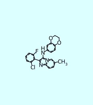 Cc1ccc2nc(-c3c(F)cccc3Cl)c(Nc3ccc4c(c3)OCCO4)n2c1